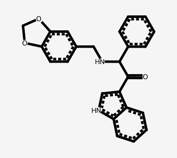 O=C(c1c[nH]c2ccccc12)C(NCc1ccc2c(c1)OCO2)c1ccccc1